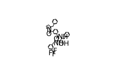 O=C(N[C@@H](Cc1ccccc1)[C@H](O)CNCc1cccc(C(F)(F)F)c1)c1cccc(C(=O)N2CCCC2Cc2ccccc2)c1